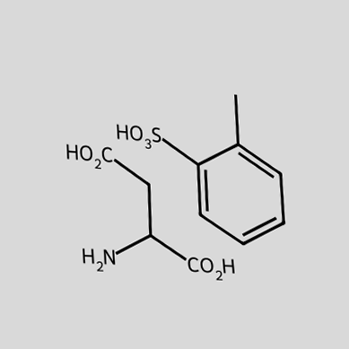 Cc1ccccc1S(=O)(=O)O.NC(CC(=O)O)C(=O)O